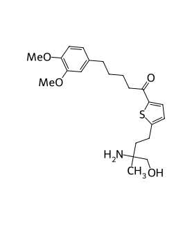 COc1ccc(CCCCC(=O)c2ccc(CCC(C)(N)CO)s2)cc1OC